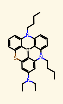 CCCCN1c2cccc3c2B2c4c(cc(N(CC)CC)cc4N(CCCC)c4cccc1c42)S3